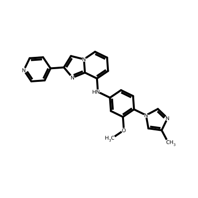 COc1cc(Nc2cccn3cc(-c4ccncc4)nc23)ccc1-n1cnc(C)c1